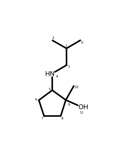 CC(C)CNC1CCCC1(C)O